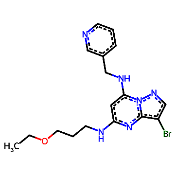 CCOCCCNc1cc(NCc2cccnc2)n2ncc(Br)c2n1